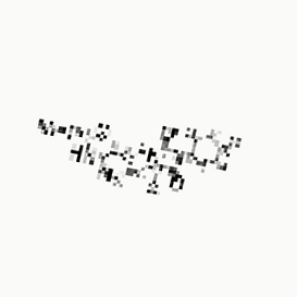 COC(=O)Nc1cc(CN2C(=O)N(c3ccc(C)cc3)C(=O)C2(C)C)ccn1